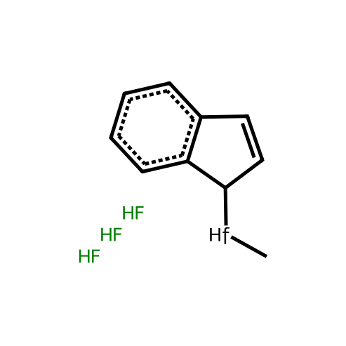 F.F.F.[CH3][Hf][CH]1C=Cc2ccccc21